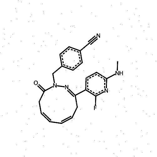 CNc1ccc(/C2=N/N(Cc3ccc(C#N)cc3)C(=O)C/C=C\C=C/C2)c(F)n1